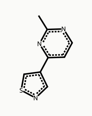 Cc1nccc(-c2cnsc2)n1